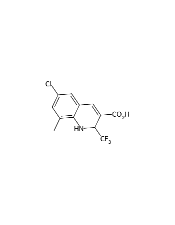 Cc1cc(Cl)cc2c1NC(C(F)(F)F)C(C(=O)O)=C2